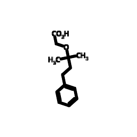 CC(C)(CCc1ccccc1)OCC(=O)O